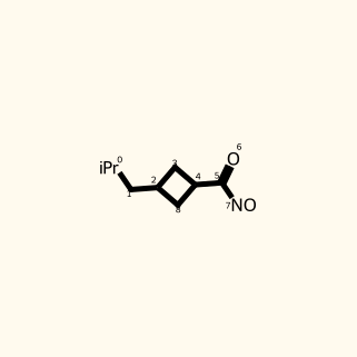 CC(C)CC1CC(C(=O)N=O)C1